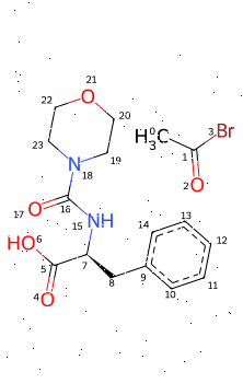 CC(=O)Br.O=C(O)[C@H](Cc1ccccc1)NC(=O)N1CCOCC1